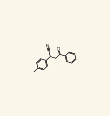 Cc1ccc(C(C#N)CC(=O)c2ccccc2)cc1